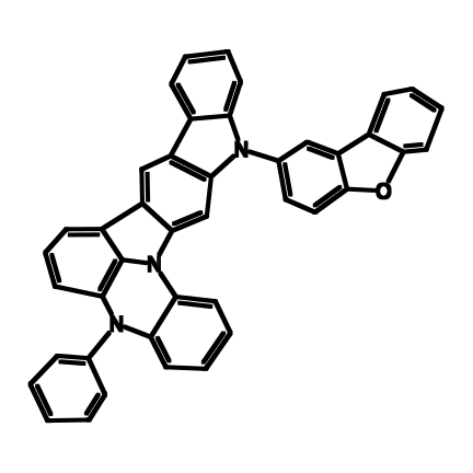 c1ccc(N2c3ccccc3-n3c4cc5c(cc4c4cccc2c43)c2ccccc2n5-c2ccc3oc4ccccc4c3c2)cc1